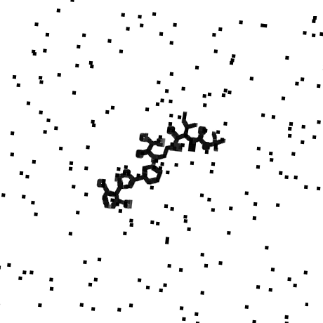 CCC(C)C(NC(=O)OC(C)(C)C)C(=O)NCCN(C(=O)C(Cl)Cl)c1cccc(-c2cc(-c3c(Cl)cccc3Cl)no2)c1